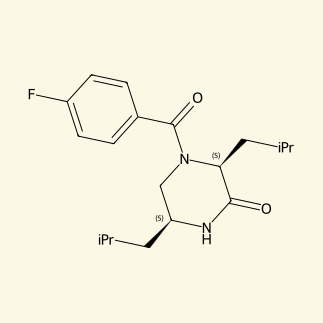 CC(C)C[C@H]1CN(C(=O)c2ccc(F)cc2)[C@@H](CC(C)C)C(=O)N1